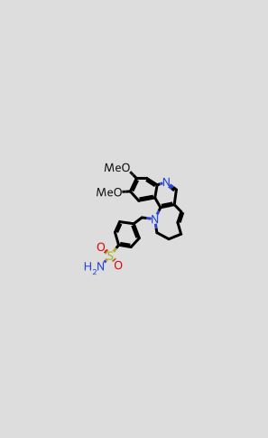 COc1cc2ncc3c(c2cc1OC)N(Cc1ccc(S(N)(=O)=O)cc1)CCC/C=C/3